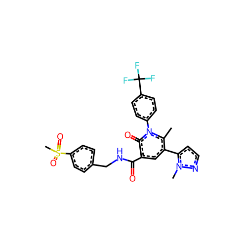 Cc1c(-c2ccnn2C)cc(C(=O)NCc2ccc(S(C)(=O)=O)cc2)c(=O)n1-c1ccc(C(F)(F)F)cc1